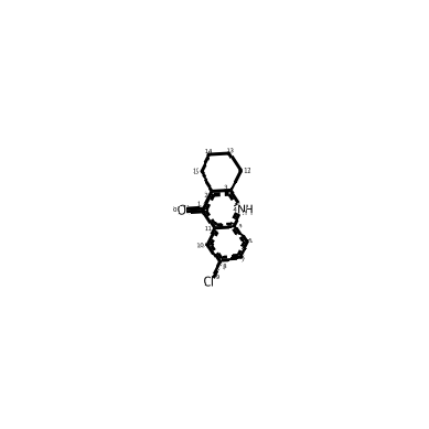 O=c1c2c([nH]c3ccc(Cl)cc13)CCCC2